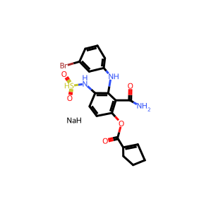 NC(=O)c1c(OC(=O)C2=CCCC2)ccc(N[SH](=O)=O)c1Nc1cccc(Br)c1.[NaH]